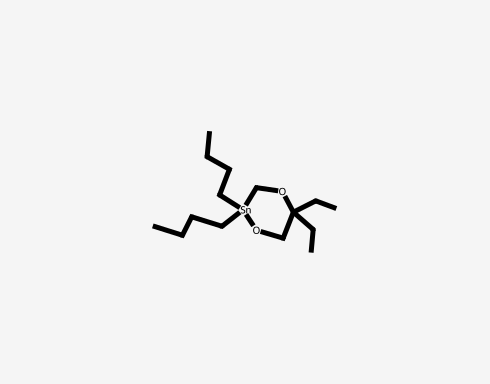 CCC[CH2][Sn]1([CH2]CCC)[CH2]OC(CC)(CC)C[O]1